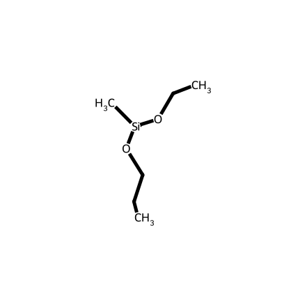 CCCO[Si](C)OCC